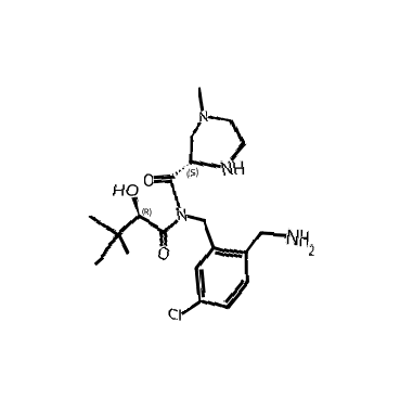 CN1CCN[C@H](C(=O)N(Cc2cc(Cl)ccc2CN)C(=O)[C@H](O)C(C)(C)C)C1